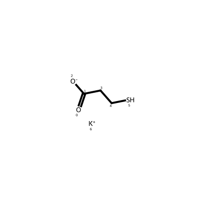 O=C([O-])CCS.[K+]